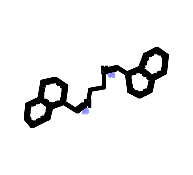 C(=N/CC/N=C\c1cccc2ccccc12)/c1cccc2ccccc12